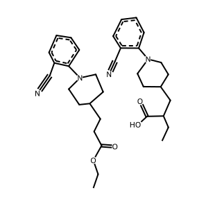 CCC(CC1CCN(c2ccccc2C#N)CC1)C(=O)O.CCOC(=O)CCC1CCN(c2ccccc2C#N)CC1